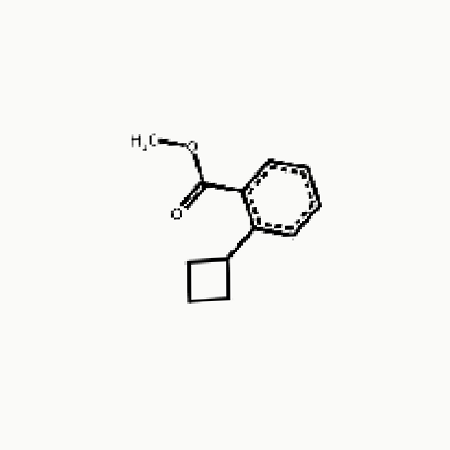 COC(=O)c1ccc[c]c1C1CCC1